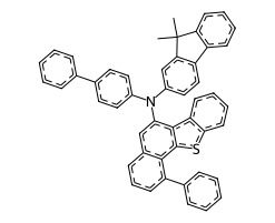 CC1(C)c2ccccc2-c2ccc(N(c3ccc(-c4ccccc4)cc3)c3cc4cccc(-c5ccccc5)c4c4sc5ccccc5c34)cc21